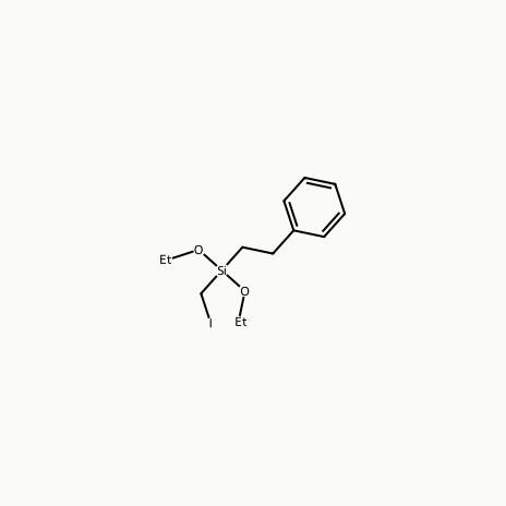 CCO[Si](CI)(CCc1ccccc1)OCC